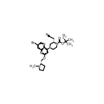 CN1CCC[C@H]1COc1cc(N2CCN(C(=O)OC(C)(C)C)[C@@H](CC#N)C2)c2ncc(Br)cc2n1